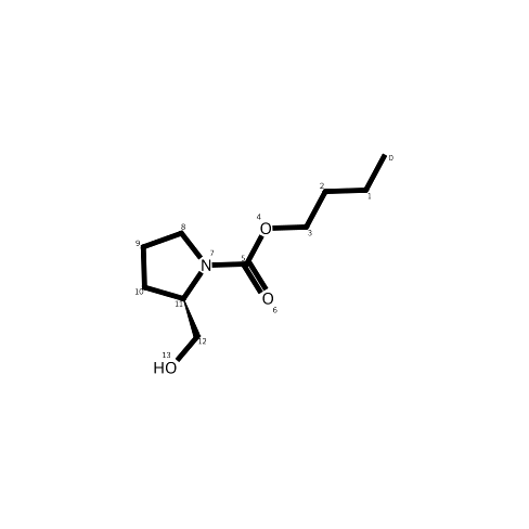 CCCCOC(=O)N1CCC[C@@H]1CO